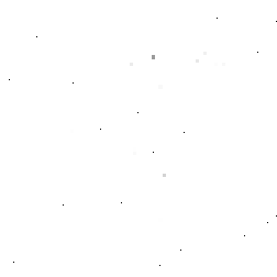 CNc1cnc(NC(=O)c2ccccc2Oc2ccccc2)s1